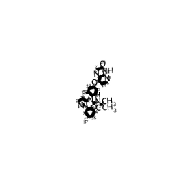 CC(C)(C)NC(=O)N(c1ccc(Oc2ccnc3[nH]c(=O)cnc23)cc1F)c1ccnn1-c1cccc(F)c1